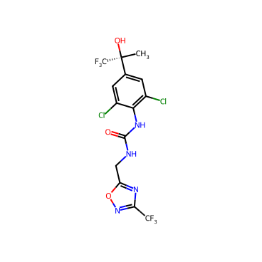 C[C@](O)(c1cc(Cl)c(NC(=O)NCc2nc(C(F)(F)F)no2)c(Cl)c1)C(F)(F)F